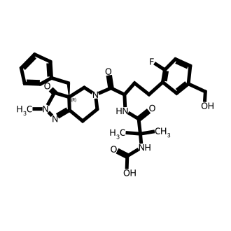 CN1N=C2CCN(C(=O)C(CCc3cc(CO)ccc3F)NC(=O)C(C)(C)NC(=O)O)C[C@@]2(Cc2ccccc2)C1=O